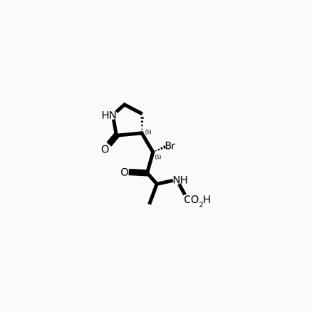 CC(NC(=O)O)C(=O)[C@@H](Br)[C@H]1CCNC1=O